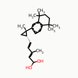 CC(/C=C/[C@@H]1C[C@]1(C)c1ccc2c(c1)C(C)(C)CCC2(C)C)=C\C(O)O